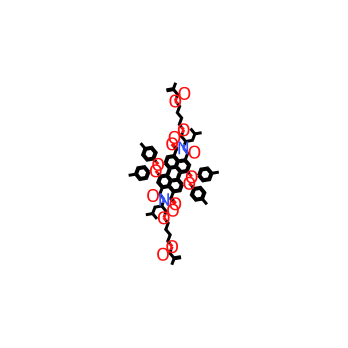 C=C(C)C(=O)OCCCCOC(=O)C(CC(C)C)N1C(=O)c2cc(Oc3ccc(C)cc3)c3c4c(Oc5ccc(C)cc5)cc5c6c(cc(Oc7ccc(C)cc7)c(c7c(Oc8ccc(C)cc8)cc(c2c37)C1=O)c64)C(=O)N(C(CC(C)C)C(=O)OCCCCOC(=O)C(=C)C)C5=O